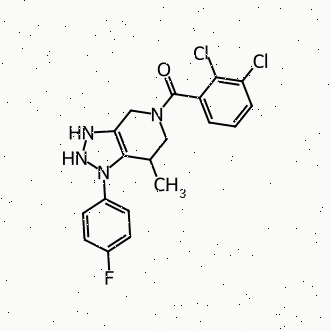 CC1CN(C(=O)c2cccc(Cl)c2Cl)CC2=C1N(c1ccc(F)cc1)NN2